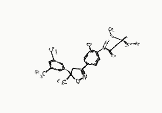 CCSC(C)(SCC)C(=O)Nc1ccc(C2=NOC(c3cc(C(F)(F)F)cc(C(F)(F)F)c3)(C(F)(F)F)C2)cc1Cl